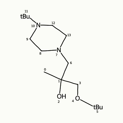 CC(O)(COC(C)(C)C)CN1CCN(C(C)(C)C)CC1